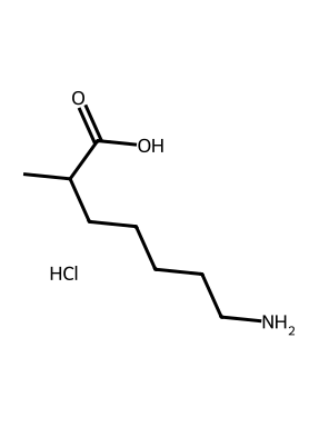 CC(CCCCCN)C(=O)O.Cl